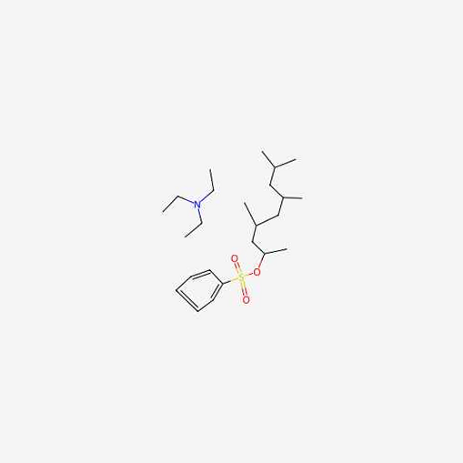 CC(C)CC(C)CC(C)CC(C)OS(=O)(=O)c1ccccc1.CCN(CC)CC